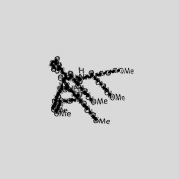 COCCOCCOCCOCCN(CCOCCOCCOCCOC)C(=O)CCCNC(=O)CN(CCOCCOCCOCCOC)C(=O)CC(CCCC(=O)ON1C(=O)CCC1=O)C(=O)N(CCOCCOCCOCCOC)CC(=O)NCCCC(=O)N(CCOCCOCCOCCOC)CCOCCOCCOCCOC